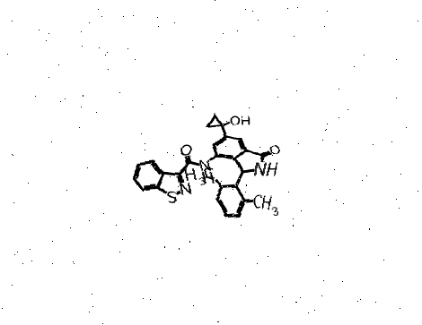 CC1=CC=CC(C)C1C1NC(=O)c2cc(C3(O)CC3)cc(NC(=O)c3nsc4ccccc34)c21